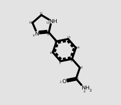 NC(=O)Cc1ccc(C2=NCCN2)cc1